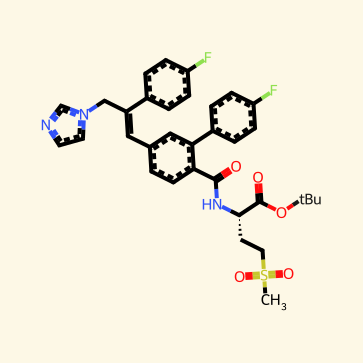 CC(C)(C)OC(=O)[C@H](CCS(C)(=O)=O)NC(=O)c1ccc(/C=C(/Cn2ccnc2)c2ccc(F)cc2)cc1-c1ccc(F)cc1